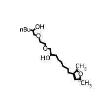 CCCCC(O)COCCOCC(O)CCCCCCC1=C[C@H](C)O[C@@H]1C